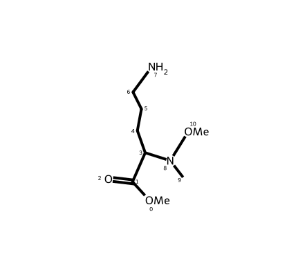 COC(=O)C(CCCN)N(C)OC